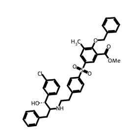 COC(=O)c1cc(S(=O)(=O)c2ccc(CCNC(Cc3ccccc3)[C@H](O)c3cccc(Cl)c3)cc2)cc(C)c1OCc1ccccc1